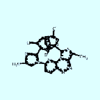 Cc1cn(-c2ccc3nnc4c(C)nc(-c5cc(Cl)ccc5Cl)n4c3n2)c(-c2cc(Cl)ccc2Cl)n1